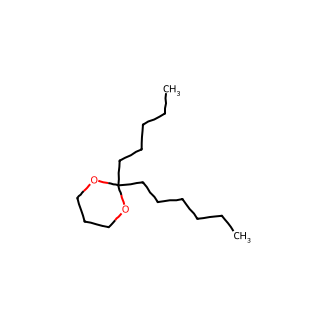 CCCCCCC1(CCCCC)OCCCO1